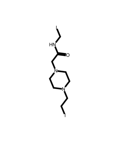 O=C(CN1CCN(CCI)CC1)NCI